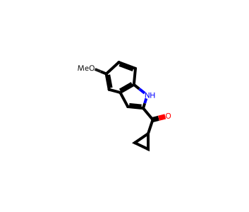 COc1ccc2[nH]c(C(=O)C3CC3)cc2c1